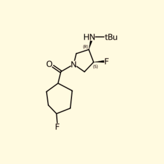 CC(C)(C)N[C@@H]1CN(C(=O)C2CCC(F)CC2)C[C@@H]1F